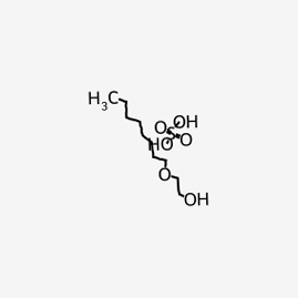 CCCCCCCCOCCO.O=S(=O)(O)O